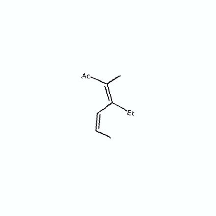 C/C=C\C(CC)=C(\C)C(C)=O